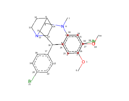 COc1ccc(N(C)C2C3CCN(CC3)C2C(c2ccc(Br)cc2)c2ccc(Br)cc2)cc1OC